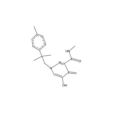 C=C1C(O)=CN(CC(C)(C)c2ccc(C)cc2)N=C1C(=O)NC